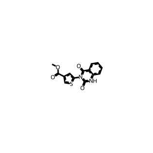 COC(=O)c1csc(-n2c(=O)[nH]c3ccccc3c2=O)c1